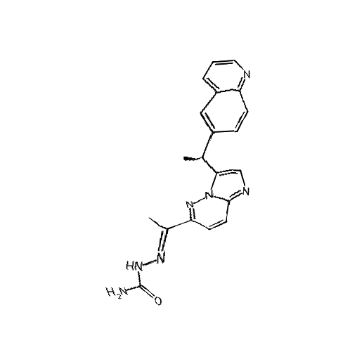 C/C(=N\NC(N)=O)c1ccc2ncc([C@@H](C)c3ccc4ncccc4c3)n2n1